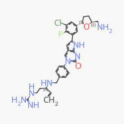 C=C[C@@H](CCNC(=N)N)NCc1ccc(-n2cc3cc(-c4cc([C@@H]5CC[C@@H](CN)O5)cc(Cl)c4F)[nH]c3nc2=O)cc1